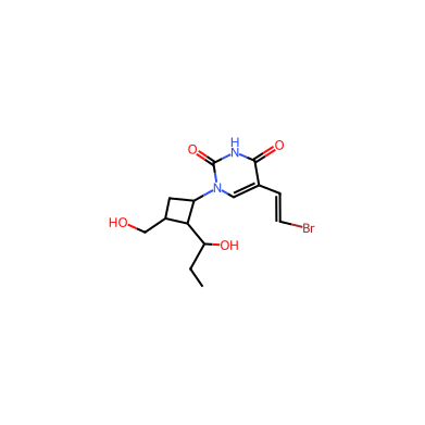 CCC(O)C1C(CO)CC1n1cc(C=CBr)c(=O)[nH]c1=O